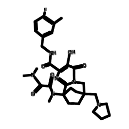 Cc1cc(CNC(=O)c2nc3n(c(=O)c2O)CC2(CN4CCCC4)CCC3(N(C)C(=O)C(=O)N(C)C)CC2)ccc1F